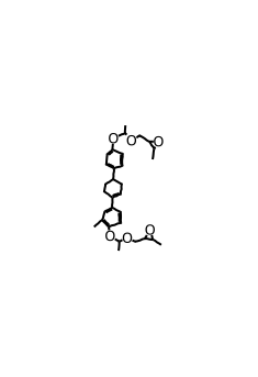 Cc1cc(C2=CCC(c3ccc(OC(C)OCC4OC4C)cc3)CC2)ccc1OC(C)OCC1OC1C